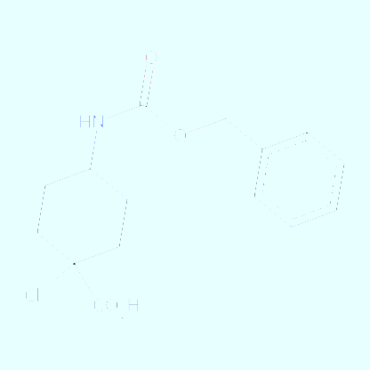 O=C(NC1CCC(Cl)(C(=O)O)CC1)OCc1ccccc1